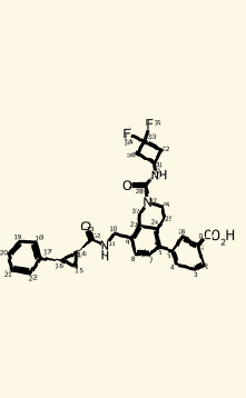 O=C(O)c1cccc(-c2ccc(CNC(=O)[C@H]3C[C@H]3c3ccccc3)c3c2CCN(C(=O)NC2CC(F)(F)C2)C3)c1